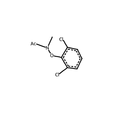 CC(=O)N(C)Oc1c(Cl)cccc1Cl